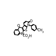 Cc1ccc(-n2c(=O)ccc3c(C(=O)c4ccccc4)c(NC(=O)O)sc32)cc1